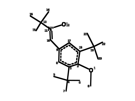 COc1c(C(C)(C)C)cc(C=[N+]([O-])C(C)(C)C)cc1C(C)(C)C